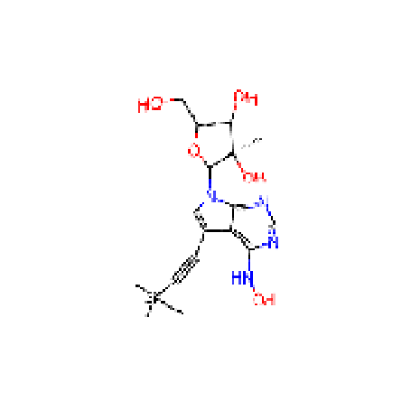 C[C@@]1(O)C(O)C(CO)OC1n1cc(C#C[Si](C)(C)C)c2c(NO)ncnc21